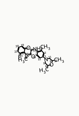 Cc1cc(N2CC(C)OC(C)C2)ccc1NC1Oc2cccc(F)c2N(C)C1=O